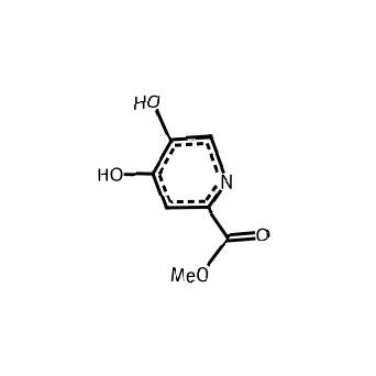 COC(=O)c1cc(O)c(O)cn1